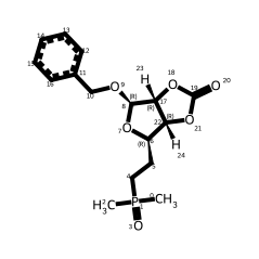 CP(C)(=O)CC[C@H]1O[C@@H](OCc2ccccc2)[C@@H]2OC(=O)O[C@@H]21